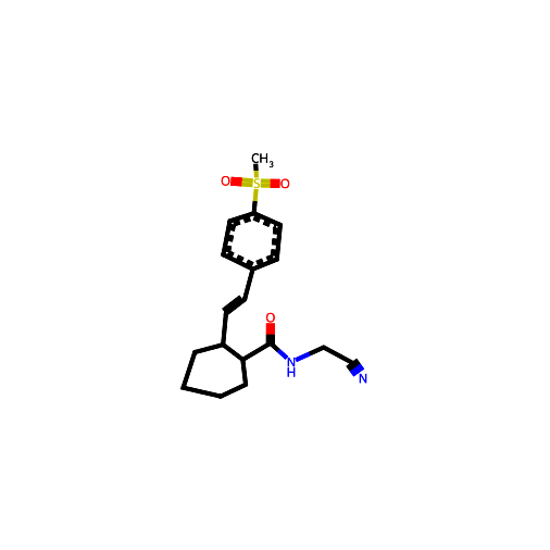 CS(=O)(=O)c1ccc(C=CC2CCCCC2C(=O)NCC#N)cc1